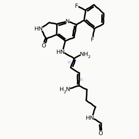 N/C(=C\C=C(/N)Nc1cc(-c2c(F)cccc2F)nc2c1C(=O)NC2)CCCNC=O